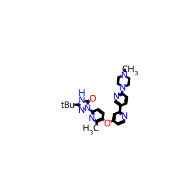 Cc1nc(-n2nc(C(C)(C)C)[nH]c2=O)ccc1Oc1ccnc(-c2ccc(N3CCN(C)CC3)nc2)c1